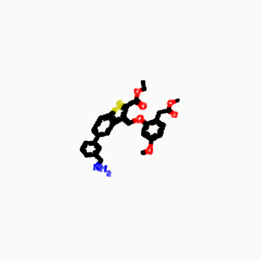 CCOC(=O)c1sc2ccc(-c3cccc(CN)c3)cc2c1COc1cc(OC)ccc1CC(=O)OC